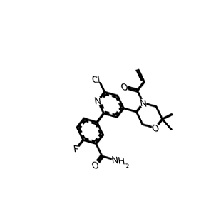 C=CC(=O)N1CC(C)(C)OCC1c1cc(Cl)nc(-c2ccc(F)c(C(N)=O)c2)c1